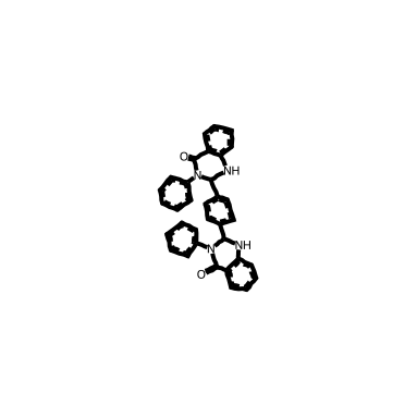 O=C1c2ccccc2NC(c2ccc(C3Nc4ccccc4C(=O)N3c3ccccc3)cc2)N1c1ccccc1